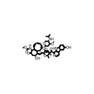 COC(=O)NC1C(=O)C[C@H](O)/C(=C/CSC(C)=O)C2=C1C#C/C=C\C#C[C@@H]2OC1OC(C)C(F)(C(=O)c2nccc3c2[nH]c2ccc(O)cc23)CC1OC1CC(OC)C(NC(C)C)CO1